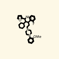 COc1ccccc1N1CCN(CCC(c2ccccc2F)C(C2CCCCC2)C(N)c2ccco2)CC1